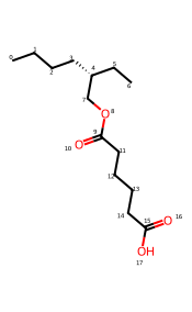 CCCC[C@H](CC)COC(=O)CCCCC(=O)O